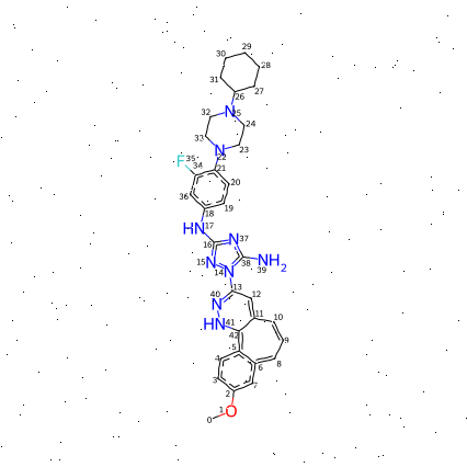 COc1ccc2c(c1)=CC=CC1=CC(n3nc(Nc4ccc(N5CCN(C6CCCCC6)CC5)c(F)c4)nc3N)=NNC=21